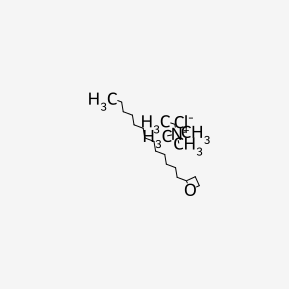 CCCCCCCCCCCCCC1CCO1.CC[N+](C)(C)C.[Cl-]